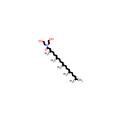 CC(C)=CCC/C(C)=C/CC/C(C)=C/CC/C(C)=C/CC/C(C)=C/C(=O)N(CCO)CCO